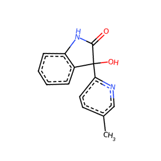 Cc1ccc(C2(O)C(=O)Nc3ccccc32)nc1